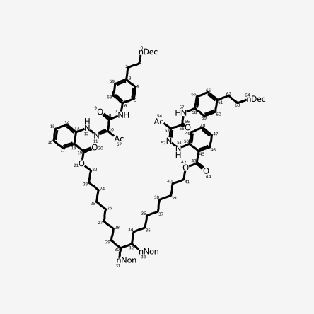 CCCCCCCCCCCCc1ccc(NC(=O)/C(=N\Nc2ccccc2C(=O)OCCCCCCCCC(CCCCCCCCC)C(CCCCCCCCC)CCCCCCCCOC(=O)c2ccccc2N/N=C(/C(C)=O)C(=O)Nc2ccc(CCCCCCCCCCCC)cc2)C(C)=O)cc1